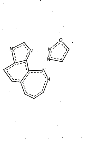 c1cnnc2c(c1)ccc1ncnc12.c1conn1